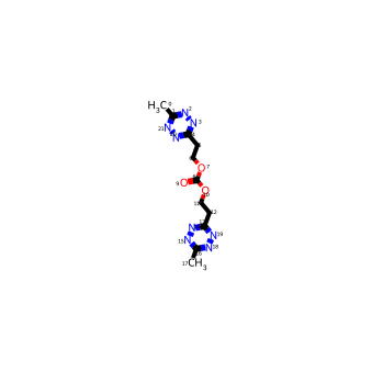 Cc1nnc(CCOC(=O)OCCc2nnc(C)nn2)nn1